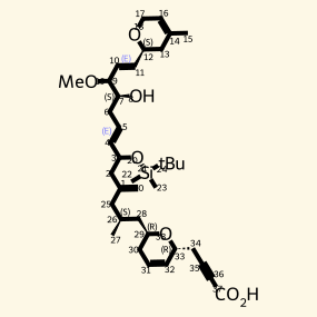 C=C(CC(/C=C/C[C@H](O)C(/C=C/[C@@H]1CC(C)=CCO1)OC)O[Si](C)(C)C(C)(C)C)C[C@H](C)C[C@@H]1CC=C[C@@H](CC#CC(=O)O)O1